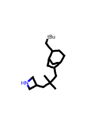 CC(C)(C)CC1CCC2CC1CC2CC(C)(C)CC1CNC1